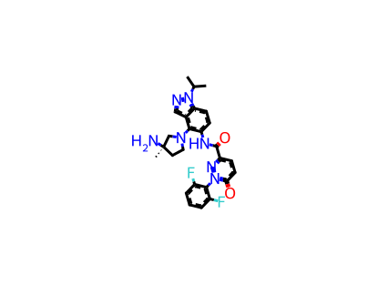 CC(C)n1ncc2c(N3CC[C@@](C)(N)C3)c(NC(=O)c3ccc(=O)n(-c4c(F)cccc4F)n3)ccc21